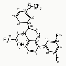 OC(CN1c2cccc(-c3cc(F)cc(F)c3)c2OCC1[C@@H]1C=C(OC(F)(F)F)C=CC1)C(F)(F)F